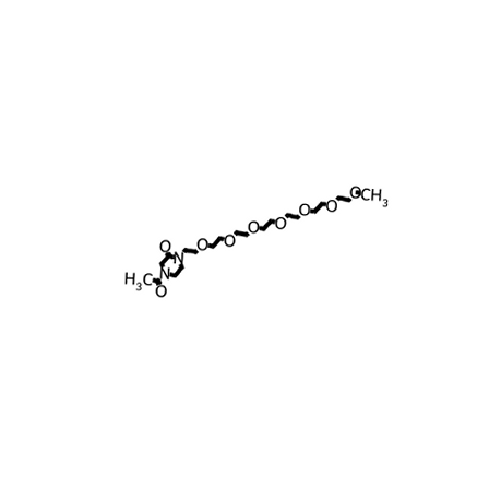 COCCOCCOCCOCCOCCOCCOCCN1CCN(C(C)=O)CC1=O